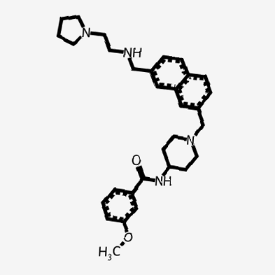 COc1cccc(C(=O)NC2CCN(Cc3ccc4ccc(CNCCN5CCCC5)cc4c3)CC2)c1